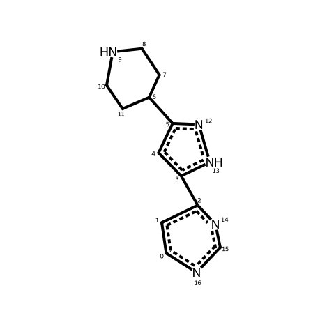 c1cc(-c2cc(C3CCNCC3)n[nH]2)ncn1